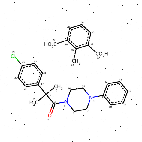 CC(C)(C(=O)N1CCN(c2ccccc2)CC1)c1ccc(Cl)cc1.Cc1c(C(=O)O)cccc1C(=O)O